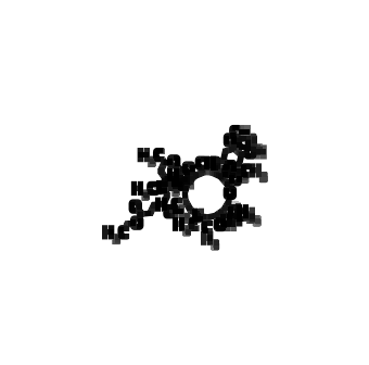 CCOC(=O)CCC(C)CN(C)[C@H]1C[C@@H](C)O[C@@H](O[C@@H]2[C@@H](C)[C@H](O[C@H]3C[C@@](C)(OC)[C@@H](O)[C@H](C)O3)[C@@H](C)C(=O)O[C@H](CC)[C@@](C)(O)[C@H](O)[C@@H](C)N(C)C[C@H](C)C[C@@]2(C)O)[C@@H]1O